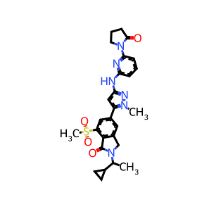 CC(C1CC1)N1Cc2cc(-c3cc(Nc4cccc(N5CCCC5=O)n4)nn3C)cc(S(C)(=O)=O)c2C1=O